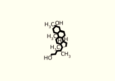 C[C@H](CCCO)[C@H]1CC[C@H]2C3CC=C4C[C@@](C)(O)CC[C@]4(C)[C@H]3CC[C@]12C